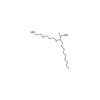 CCCCCCCCCC(SCCCSCCO)C(C)O